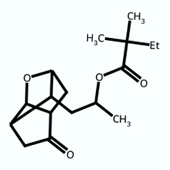 CCC(C)(C)C(=O)OC(C)CC1C2CC3C(=O)CC1C3O2